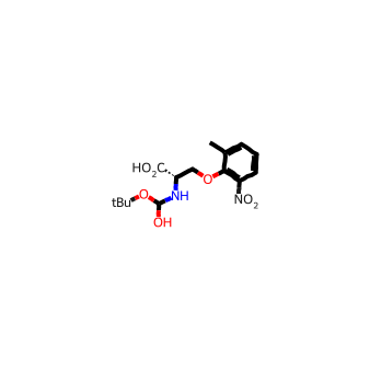 Cc1cccc([N+](=O)[O-])c1OC[C@H](NC(O)OC(C)(C)C)C(=O)O